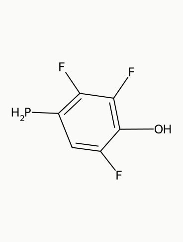 Oc1c(F)cc(P)c(F)c1F